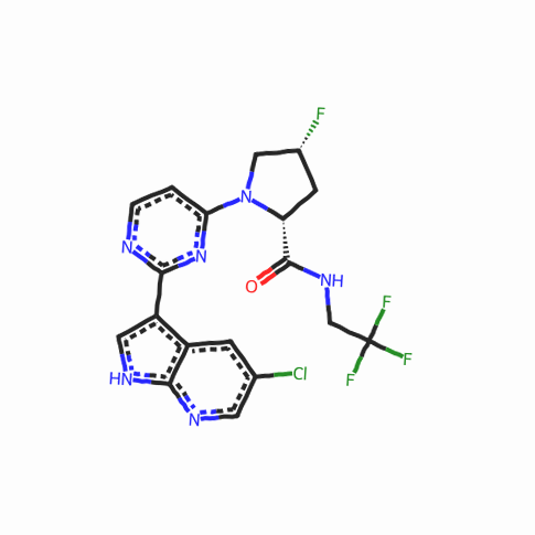 O=C(NCC(F)(F)F)[C@H]1C[C@@H](F)CN1c1ccnc(-c2c[nH]c3ncc(Cl)cc23)n1